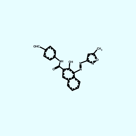 Cc1cc(/N=N/c2c(O)c(C(=O)Nc3ccc(C=O)cc3)cc3ccccc23)no1